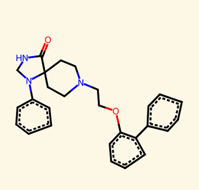 O=C1NCN(c2ccccc2)C12CCN(CCOc1ccccc1-c1ccccc1)CC2